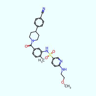 COCCNc1ccc(S(=O)(=O)Nc2cc(C(=O)N3CCC(c4ccc(C#N)cc4)CC3)ccc2C)cn1